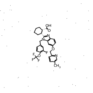 Cc1ccc(COc2ccc3nc([C@@H]4CCCC[C@@H]4C(=O)O)n(Cc4ccc(OC(F)(F)F)c(F)c4)c3c2)nc1